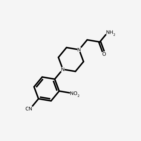 [C-]#[N+]c1ccc(N2CCN(CC(N)=O)CC2)c([N+](=O)[O-])c1